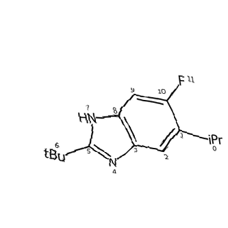 CC(C)c1cc2nc(C(C)(C)C)[nH]c2cc1F